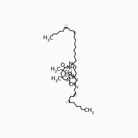 CCCCC/C=C\C/C=C\CCCCCCCCC(CCCCCCCC/C=C\C/C=C\CCCCC)=NNC(=O)C(C)(C)CC(C)(C)CN(C)C